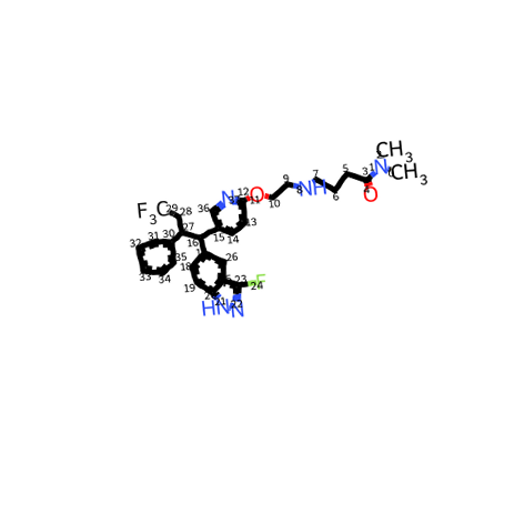 CN(C)C(=O)CCCNCCOc1ccc(C(c2ccc3[nH]nc(F)c3c2)C(CC(F)(F)F)c2ccccc2)cn1